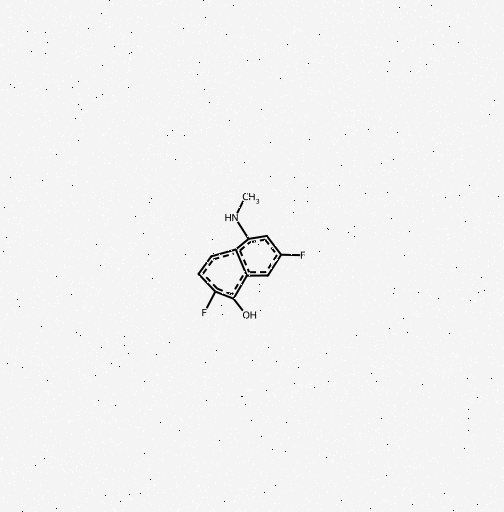 CNc1cc(F)cc2c(O)c(F)ccc12